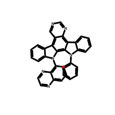 c1ccc(-n2c3ccccc3c3c4ncncc4c4c5ccccc5n(-c5cccc6nccnc56)c4c32)cc1